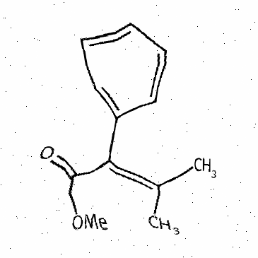 COC(=O)C(=C(C)C)c1ccccc1